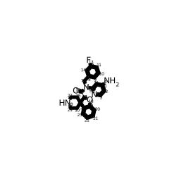 Nc1ccnc(N(Cc2cccc(F)c2)C(=O)[C@@H]2Oc3ccccc3C23CCNCC3)c1